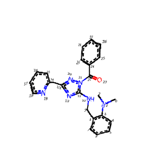 CN(C)c1ccccc1CNc1nc(-c2ccccn2)nn1C(=O)c1ccccc1